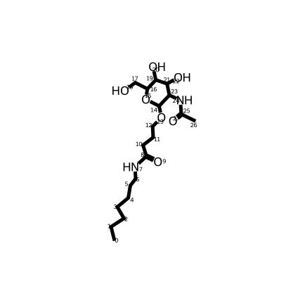 CCCCCCCNC(=O)CCCOC1OC(CO)C(O)C(O)C1NC(C)=O